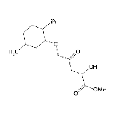 COC(=O)C(O)CC(=O)COC1CC(C)CCC1C(C)C